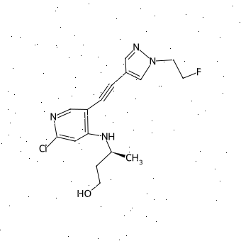 C[C@@H](CCO)Nc1cc(Cl)ncc1C#Cc1cnn(CCF)c1